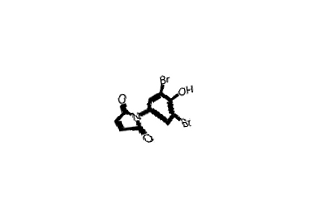 O=C1C=CC(=O)N1c1cc(Br)c(O)c(Br)c1